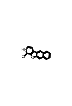 ClC1NC=Cc2c1oc1cc3ccccc3cc21